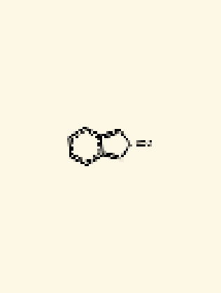 O=[N+]1C=c2ccccc2=N1